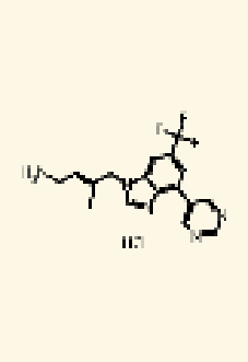 Cl.NC/C=C(\F)Cn1cnc2c(-c3cncnc3)cc(C(F)(F)F)cc21